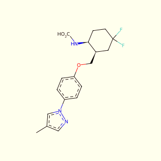 Cc1cnn(-c2ccc(OC[C@@H]3CC(F)(F)CC[C@@H]3NC(=O)O)cc2)c1